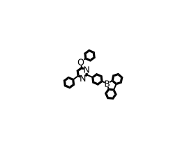 c1ccc(Oc2cc(-c3ccccc3)nc(-c3ccc(B4c5ccccc5-c5ccccc54)cc3)n2)cc1